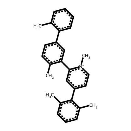 Cc1ccccc1-c1ccc(C)c(-c2cc(-c3c(C)cccc3C)cc[n+]2C)c1